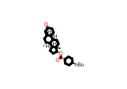 CCCC[C@H]1CC[C@H](C(=O)O[C@H]2CC[C@H]3[C@H]4[C@H](CC[C@]23C)[C@H]2CCC(=O)C=C2C[C@H]4C)CC1